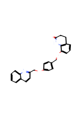 O=C1CCc2cccc(OCc3ccc(OCc4ccc5ccccc5n4)cc3)c2N1